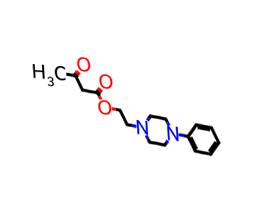 CC(=O)CC(=O)OCCN1CCN(c2ccccc2)CC1